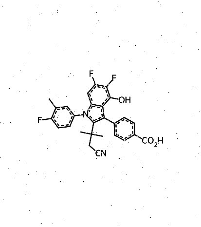 Cc1cc(-n2c(C(C)(C)CC#N)c(-c3ccc(C(=O)O)cc3)c3c(O)c(F)c(F)cc32)ccc1F